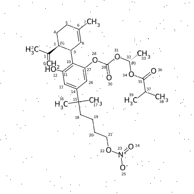 C=C(C)[C@H]1CCC(C)=CC1c1c(O)cc(C(C)(C)CCCCO[N+](=O)[O-])cc1OC(=O)O[C@H](C)OC(=O)C(C)C